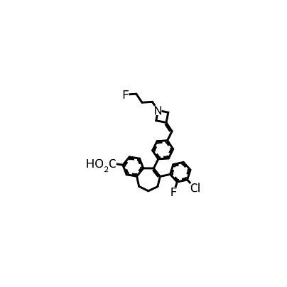 O=C(O)c1ccc2c(c1)CCCC(c1cccc(Cl)c1F)=C2c1ccc(C=C2CN(CCCF)C2)cc1